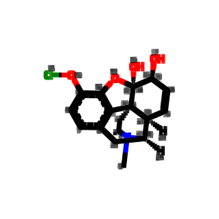 CN1CC[C@]23c4c5ccc(OCl)c4O[C@@]2(O)[C@@H](O)C=C[C@H]3[C@H]1C5